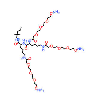 CCCC(C)(C)CNC(=O)C(CCCCNC(=O)COCCOCCOCCON)NC(=O)C(CCCCNC(=O)COCCOCCOCCON)NC(=O)COCCOCCOCCON